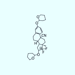 C[C@]12CCC3(C#N)c4ccc(OC5CCCCO5)cc4CC[C@H]3[C@@H]1CC(OC1CCCCO1)C2(F)F